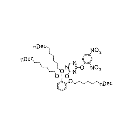 CCCCCCCCCCCCCCCCOc1ccccc1C(OCCCCCCCCCCCCCCCC)(OCCCCCCCCCCCCCCCC)Oc1ncnc(Oc2ccc([N+](=O)[O-])cc2[N+](=O)[O-])n1